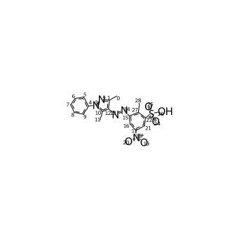 Cc1nn(-c2ccccc2)c(C)c1/N=N/c1cc([N+](=O)[O-])cc(S(=O)(=O)O)c1C